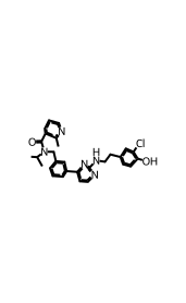 Cc1ncccc1C(=O)N(Cc1cccc(-c2ccnc(NCCc3ccc(O)c(Cl)c3)n2)c1)C(C)C